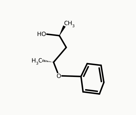 C[C@H](O)C[C@@H](C)Oc1ccccc1